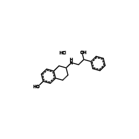 Cl.Oc1ccc2c(c1)CCC(NCC(O)c1ccccc1)C2